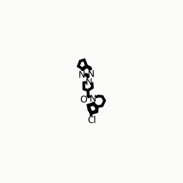 O=C(C1CCN(c2ncc3c(n2)CCC3)CC1)N1CCCCc2cc(Cl)ccc21